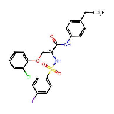 O=C(O)Cc1ccc(NC(=O)[C@H](COc2ccccc2Cl)NS(=O)(=O)c2ccc(I)cc2)cc1